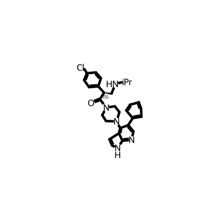 CC(C)NC[C@@H](C(=O)N1CCN(c2c(-c3ccccc3)cnc3[nH]ccc23)CC1)c1ccc(Cl)cc1